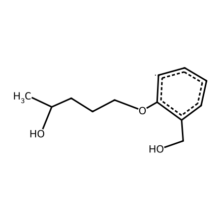 CC(O)CCCOc1[c]cccc1CO